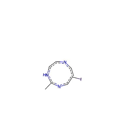 Cc1ncc(I)cncc[nH]1